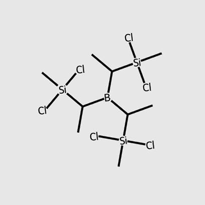 CC(B(C(C)[Si](C)(Cl)Cl)C(C)[Si](C)(Cl)Cl)[Si](C)(Cl)Cl